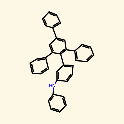 c1ccc(Nc2cccc(-c3c(-c4ccccc4)cc(-c4ccccc4)cc3-c3ccccc3)c2)cc1